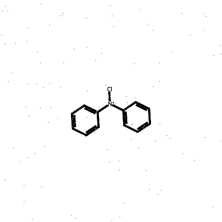 Cl[N+](c1ccccc1)c1ccccc1